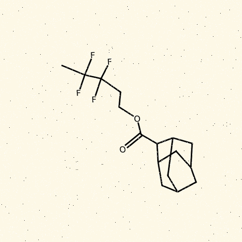 CC(F)(F)C(F)(F)CCOC(=O)C1C2CC3CC(C2)CC1C3